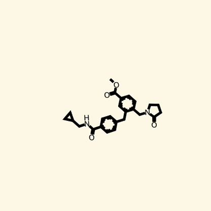 COC(=O)c1ccc(CN2CCCC2=O)c(Cc2ccc(C(=O)NCC3CC3)cc2)c1